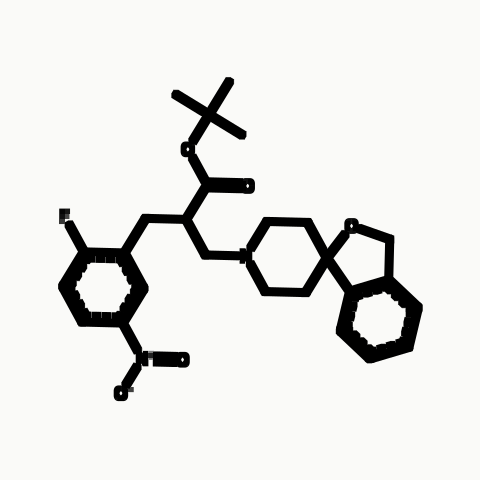 CC(C)(C)OC(=O)C(Cc1cc([N+](=O)[O-])ccc1F)CN1CCC2(CC1)OCc1ccccc12